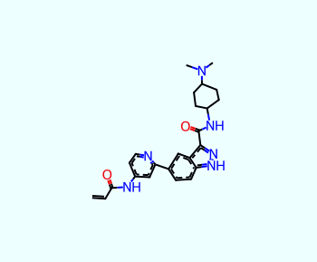 C=CC(=O)Nc1ccnc(-c2ccc3[nH]nc(C(=O)NC4CCC(N(C)C)CC4)c3c2)c1